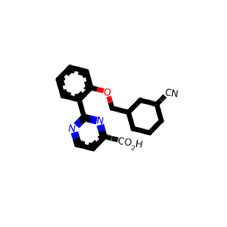 N#CC1CCCC(COc2ccccc2-c2nccc(C(=O)O)n2)C1